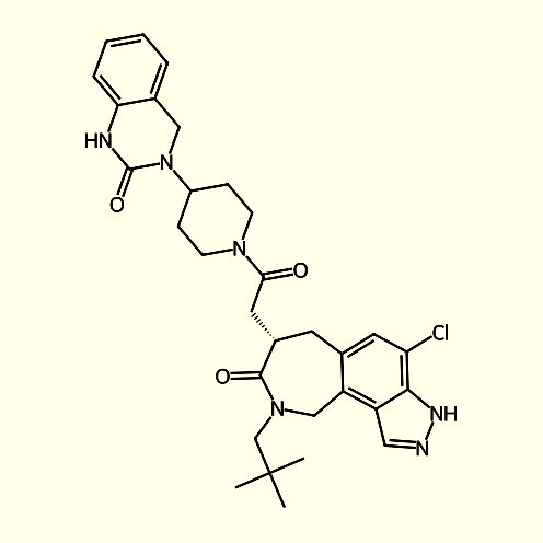 CC(C)(C)CN1Cc2c(cc(Cl)c3[nH]ncc23)C[C@@H](CC(=O)N2CCC(N3Cc4ccccc4NC3=O)CC2)C1=O